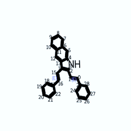 C(=C\c1[nH]c2cc3ccccc3cc2c1/C=C/c1ccccc1)/c1ccccc1